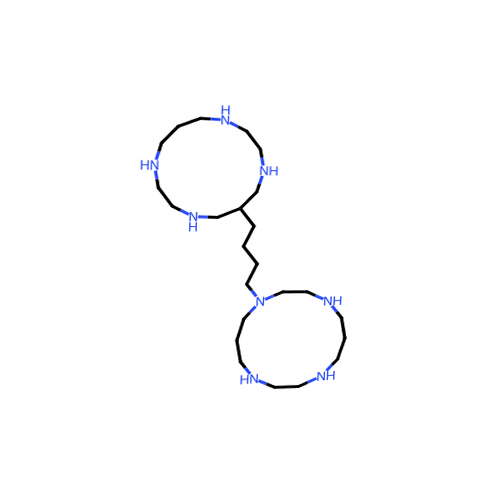 C1CNCCNCC(CCCCN2CCCNCCNCCCNCC2)CNCCNC1